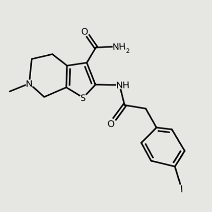 CN1CCc2c(sc(NC(=O)Cc3ccc(I)cc3)c2C(N)=O)C1